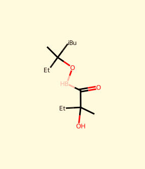 CCC(C)C(C)(CC)OBC(=O)C(C)(O)CC